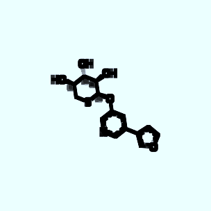 O[C@@H]1[C@@H](O)[C@@H](Oc2cncc(-c3ccoc3)c2)SC[C@H]1O